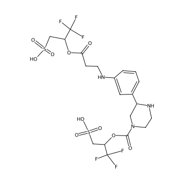 O=C(CCNc1cccc(C2CN(C(=O)OC(CS(=O)(=O)O)C(F)(F)F)CCN2)c1)OC(CS(=O)(=O)O)C(F)(F)F